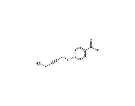 NCC#CCOc1ccc([N+](=O)[O-])cc1